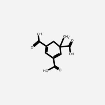 [CH2]C1(C(=O)O)C=C(C(=O)O)C=C(C(=O)O)C1